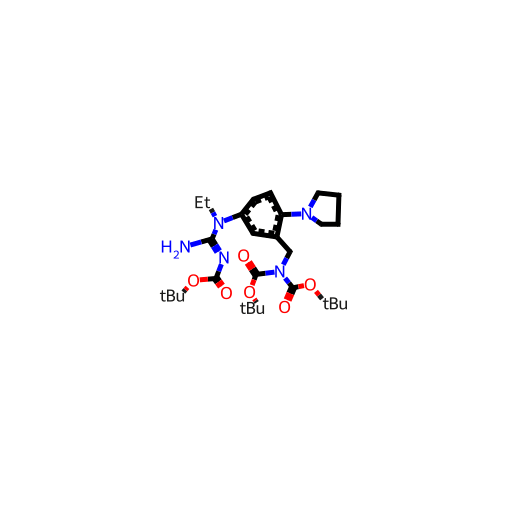 CCN(C(N)=NC(=O)OC(C)(C)C)c1ccc(N2CCCC2)c(CN(C(=O)OC(C)(C)C)C(=O)OC(C)(C)C)c1